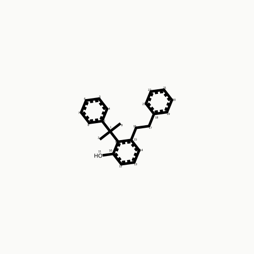 CC(C)(c1ccccc1)c1c(O)cccc1CCc1ccccc1